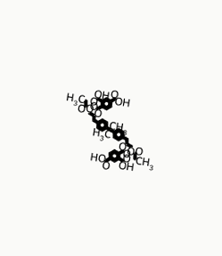 CCC(=O)OCC(Cc1ccc(C(C)(C)c2ccc(CC(COC(=O)CC)OC(=O)c3ccc(C(=O)O)cc3C(=O)O)cc2)cc1)OC(=O)c1ccc(C(=O)O)cc1C(=O)O